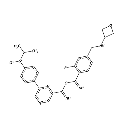 CC(C)[S+]([O-])c1ccc(-c2cncc(C(=N)OC(=N)c3ccc(CNC4COC4)cc3F)n2)cc1